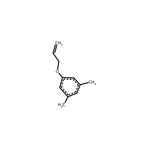 C=CCOc1[c]c(C)cc(C)c1